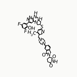 Cc1cc(S[C@@H]2C[C@@H]3CNc4nnc(-c5cc(F)cc(F)c5O)cc4N3C2)ncc1CN1CCN(c2ccc3c(c2)C(=O)N([C@H]2CCC(=O)NC2=O)C3)CC1